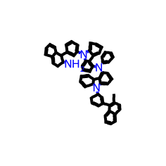 Cc1ccc2ccccc2c1C1=CC(N2c3cccc(N(c4ccccc4)c4cccc5c4c4ccccc4n5-c4cccc(C5C(N)CC=C6C=CC=CC65)c4)c3C3C=CC=CC32)CC=C1